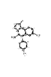 Cc1nnc2c(N)c(-c3ccc(C(F)(F)F)cc3)c3cc(O)ccc3n12